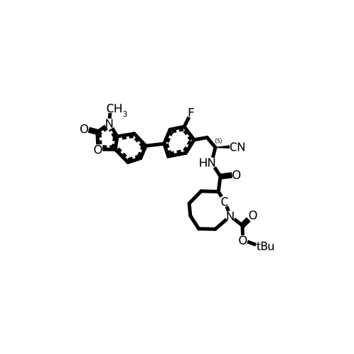 Cn1c(=O)oc2ccc(-c3ccc(C[C@@H](C#N)NC(=O)C4CCCCCN(C(=O)OC(C)(C)C)C4)c(F)c3)cc21